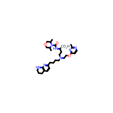 Cc1nccc(OCCN(CCCCc2ccc3c(n2)NCCC3)CCC(NC(=O)N2C(C)COCC2C)C(=O)O)n1